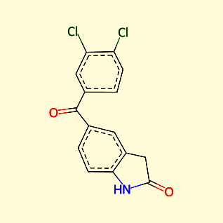 O=C1Cc2cc(C(=O)c3ccc(Cl)c(Cl)c3)ccc2N1